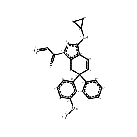 C=CC(=O)n1nc(NC2CC2)c2c1CC(c1ccccc1)(c1cccc(OC)c1)C=C2